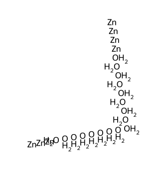 O.O.O.O.O.O.O.O.O.O.O.O.O.O.O.O.O.[Zn].[Zn].[Zn].[Zn].[Zn].[Zn].[Zn]